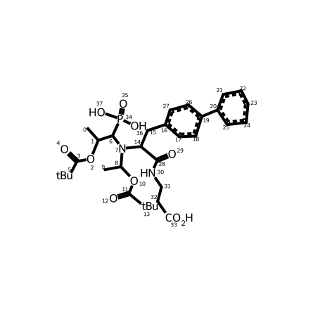 CC(OC(=O)C(C)(C)C)C(N(C(C)OC(=O)C(C)(C)C)C(Cc1ccc(-c2ccccc2)cc1)C(=O)NCCC(=O)O)P(=O)(O)O